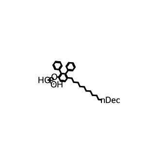 CCCCCCCCCCCCCCCCCCCCc1ccc(OP(O)O)c(-c2ccccc2)c1-c1ccccc1